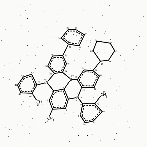 Cc1cc2c3c(c1)N(c1ccccc1C)c1ccc(C4CCCCC4)cc1B3c1cc(-c3ccccc3)ccc1N2c1ccccc1C